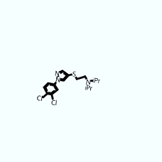 CC(C)N(CCSc1cnn(-c2ccc(Cl)c(Cl)c2)c1)C(C)C